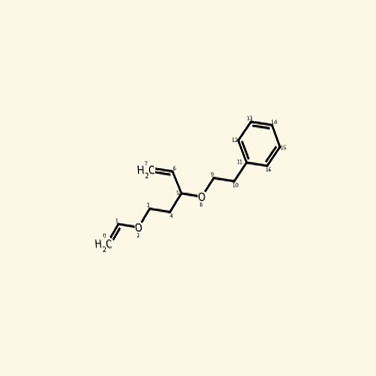 C=COCCC(C=C)OCCc1ccccc1